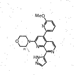 COc1cccc(-c2cc(N3CCOC[C@H]3C)nc3c(-c4ccn[nH]4)nccc23)n1